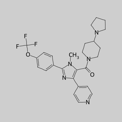 Cn1c(-c2ccc(OC(F)(F)F)cc2)nc(-c2ccncc2)c1C(=O)N1CCC(N2CCCC2)CC1